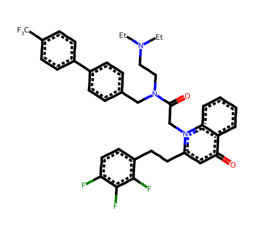 CCN(CC)CCN(Cc1ccc(-c2ccc(C(F)(F)F)cc2)cc1)C(=O)Cn1c(CCc2ccc(F)c(F)c2F)cc(=O)c2ccccc21